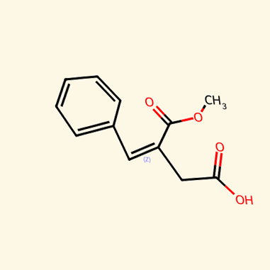 COC(=O)/C(=C\c1ccccc1)CC(=O)O